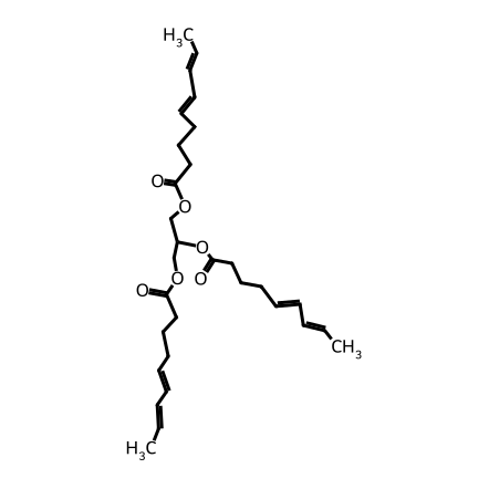 C/C=C/C=C/CCCC(=O)OCC(COC(=O)CCC/C=C/C=C/C)OC(=O)CCC/C=C/C=C/C